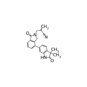 C=C(C#N)CN1Cc2c(cccc2-c2ccc3c(c2)NC(=O)C3(C)C)C1=O